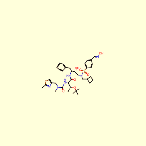 Cc1nc(CN(C)C(=O)N[C@H](C(=O)N[C@@H](Cc2ccccc2)[C@H](O)CN(CC2CCC2)S(=O)(=O)c2ccc(/C=N/O)cc2)[C@H](C)OC(C)(C)C)cs1